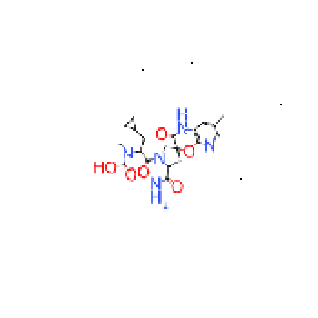 Cc1cnc2c(c1)NC(=O)C1(C[C@@H](C(N)=O)N(C(=O)[C@H](CC3CC3)N(C)C(=O)O)C1)O2